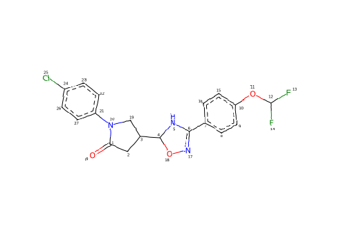 O=C1CC(C2NC(c3ccc(OC(F)F)cc3)=NO2)CN1c1ccc(Cl)cc1